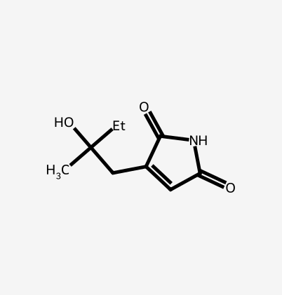 CCC(C)(O)CC1=CC(=O)NC1=O